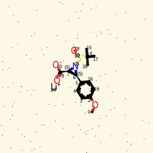 COc1ccc([C@H]2[C@@H](C(=O)[O-])N2[S@@+]([O-])C(C)(C)C)cc1.[Li+]